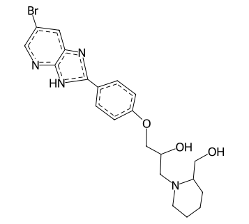 OCC1CCCCN1CC(O)COc1ccc(-c2nc3cc(Br)cnc3[nH]2)cc1